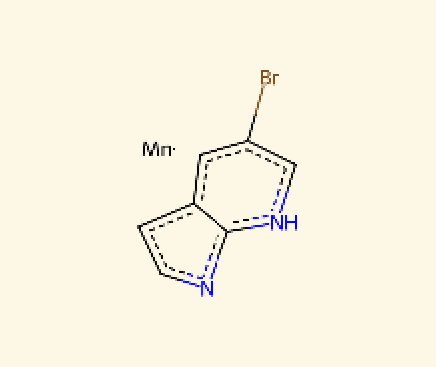 Brc1c[nH]c2nccc-2c1.[Mn]